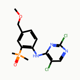 COCc1ccc(Nc2nc(Cl)ncc2Cl)c(P(C)(C)=O)c1